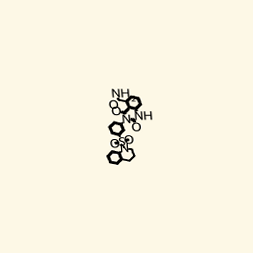 NC(=O)c1cccc2[nH]c(=O)n(-c3cccc(S(=O)(=O)N4CCCc5ccccc54)c3)c(=O)c12